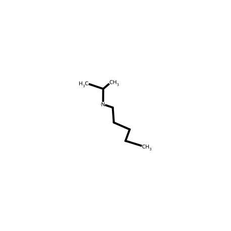 CCCCC[N]C(C)C